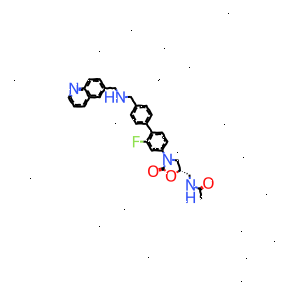 CC(=O)NC[C@H]1CN(c2ccc(-c3ccc(CNCc4ccc5ncccc5c4)cc3)c(F)c2)C(=O)O1